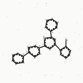 Brc1ccccc1-c1cc(-c2ccccc2)nc(-c2ccc(-c3ccccc3)cc2)c1